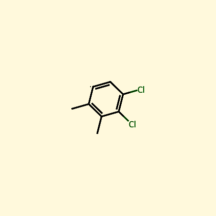 Cc1[c]cc(Cl)c(Cl)c1C